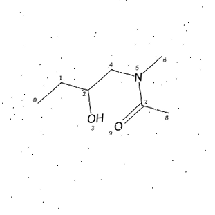 CCC(O)CN(C)C(C)=O